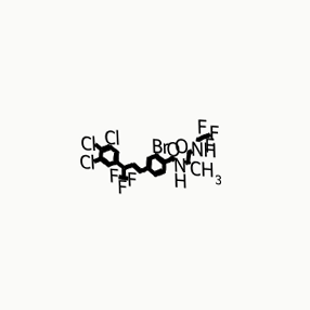 C[C@@H](NC(=O)c1ccc(/C=C/C(c2cc(Cl)c(Cl)c(Cl)c2)C(F)(F)F)cc1Br)C(=O)NCC(F)(F)F